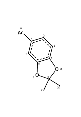 CC(=O)c1ccc2c(c1)OC(C)(C)O2